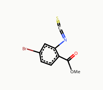 COC(=O)c1ccc(Br)cc1N=C=S